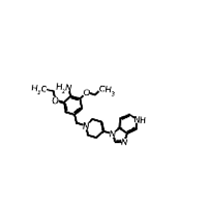 CCOc1cc(CN2CCC(N3C=NC4=CNC=CC43)CC2)cc(OCC)c1N